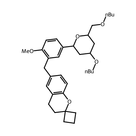 CCCCOCC1CC(OCCCC)CC(c2ccc(OC)c(Cc3ccc4c(c3)CCC3(CCC3)O4)c2)O1